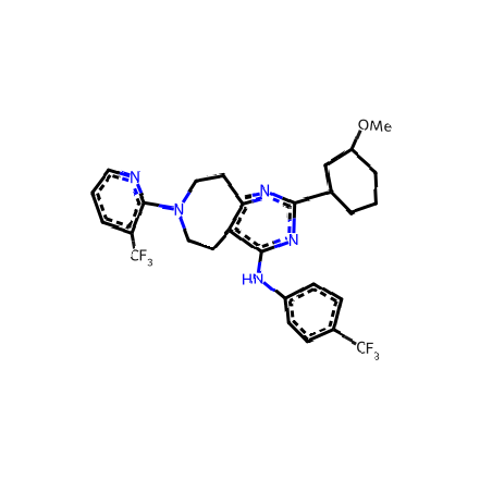 COC1CCCC(c2nc3c(c(Nc4ccc(C(F)(F)F)cc4)n2)CCN(c2ncccc2C(F)(F)F)CC3)C1